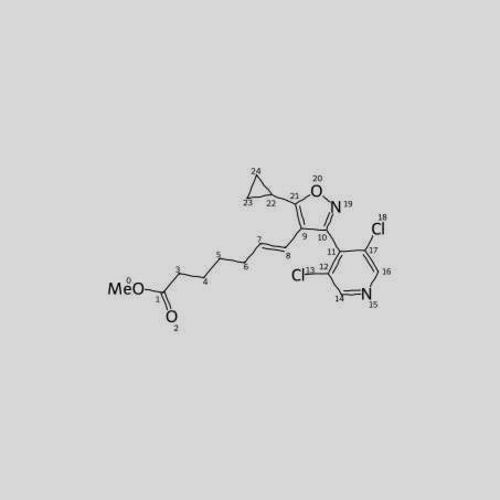 COC(=O)CCCC/C=C/c1c(-c2c(Cl)cncc2Cl)noc1C1CC1